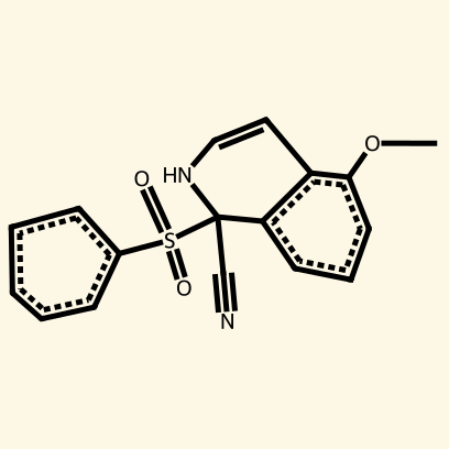 COc1cccc2c1C=CNC2(C#N)S(=O)(=O)c1ccccc1